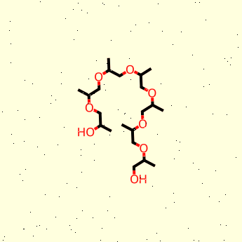 CC(O)COC(C)COC(C)COC(C)COC(C)COC(C)COC(C)CO